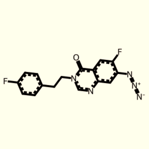 [N-]=[N+]=Nc1cc2ncn(CCc3ccc(F)cc3)c(=O)c2cc1F